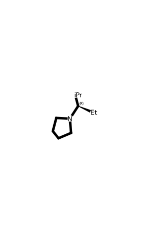 CC[C@H](C(C)C)N1CCCC1